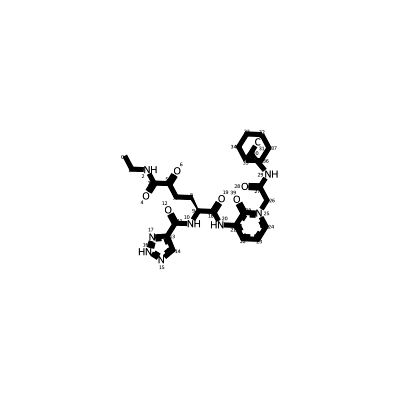 CCNC(=O)C(=O)CC[C@H](NC(=O)c1cn[nH]n1)C(=O)Nc1cccn(CC(=O)NC2CC3CCC2CC3)c1=O